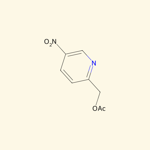 CC(=O)OCc1ccc([N+](=O)[O-])cn1